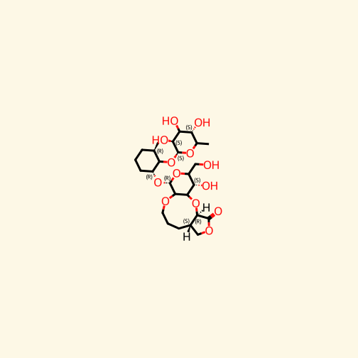 CC1O[C@@H](OC2[C@H](C)CCC[C@H]2O[C@@H]2OC(CO)[C@H](O)C3O[C@H]4C(=O)OC[C@@H]4CCCOC32)[C@@H](O)C(O)[C@@H]1O